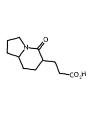 O=C(O)CCC1CCC2CCCN2C1=O